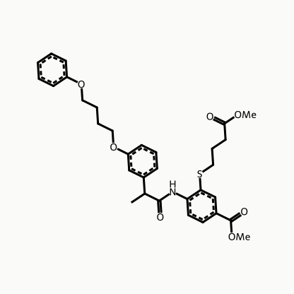 COC(=O)CCCSc1cc(C(=O)OC)ccc1NC(=O)C(C)c1cccc(OCCCCOc2ccccc2)c1